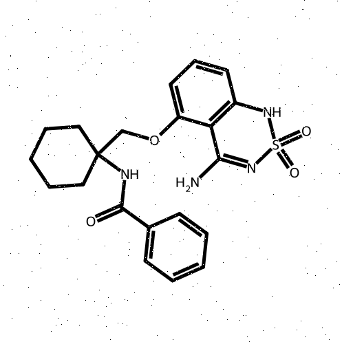 NC1=NS(=O)(=O)Nc2cccc(OCC3(NC(=O)c4ccccc4)CCCCC3)c21